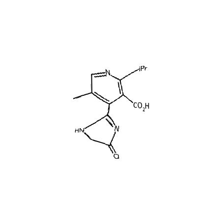 Cc1cnc(C(C)C)c(C(=O)O)c1C1=NC(=O)CN1